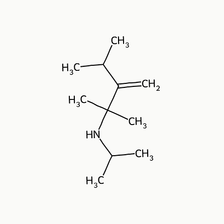 C=C(C(C)C)C(C)(C)NC(C)C